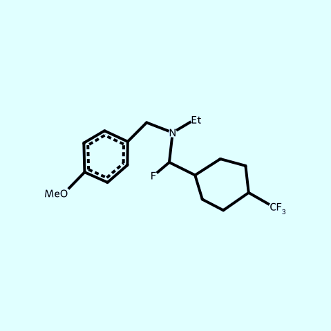 CCN(Cc1ccc(OC)cc1)C(F)C1CCC(C(F)(F)F)CC1